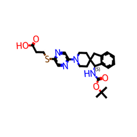 CC(C)(C)OC(=O)N[C@@H]1c2ccccc2CC12CCN(c1cnc(SCCC(=O)O)cn1)CC2